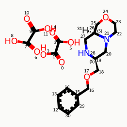 O=C(O)C(=O)O.O=C(O)C(=O)O.c1ccc(COC[C@@H]2CN3CCOC[C@@H]3CN2)cc1